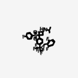 CC(C)NC1CC(c2ccc(C(OCc3c(F)cccc3F)(C(F)(F)F)C(F)(F)F)cc2)(S(=O)(=O)c2ccc(F)cc2)C1